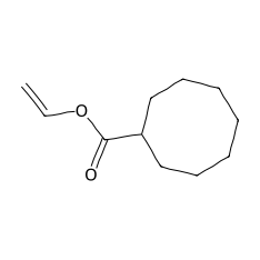 C=COC(=O)C1CCCCCCC1